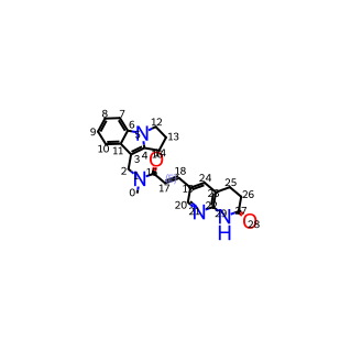 CN(Cc1c2n(c3ccccc13)CCC2)C(=O)/C=C/c1cnc2c(c1)CCC(=O)N2